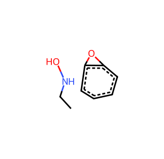 CCNO.c1ccc2c(c1)O2